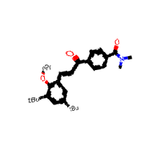 CCCOc1c(C=CC(=O)c2ccc(C(=O)N(C)C)cc2)cc(C(C)(C)C)cc1C(C)(C)C